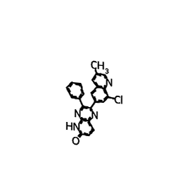 Cc1cnc2c(Cl)cc(-c3nc4ccc(=O)[nH]c4nc3-c3ccccc3)cc2c1